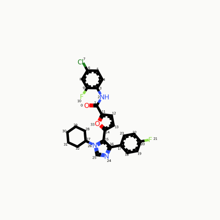 O=C(Nc1ccc(Cl)cc1F)c1ccc(-c2c(-c3ccc(F)cc3)ncn2C2CCCCC2)o1